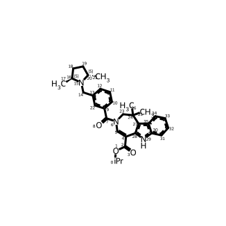 CC(C)OC(=O)C1=CN(C(=O)c2cccc(CN3[C@@H](C)CC[C@@H]3C)c2)CC(C)(C)c2c1[nH]c1ccccc21